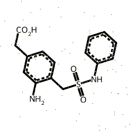 Nc1cc(CC(=O)O)ccc1CS(=O)(=O)Nc1ccccc1